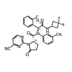 Cc1ccccc1[C@@H](C(=O)NC1CC(F)(F)C1)N(C(=O)[C@@H]1CCC(=O)N1c1nccc(C#N)n1)c1cccc(C#N)c1